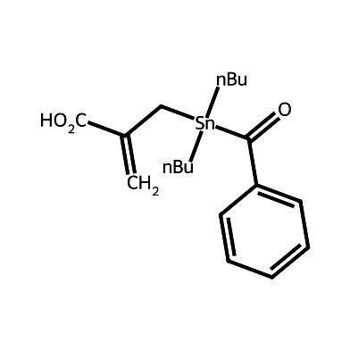 C=C([CH2][Sn]([CH2]CCC)([CH2]CCC)[C](=O)c1ccccc1)C(=O)O